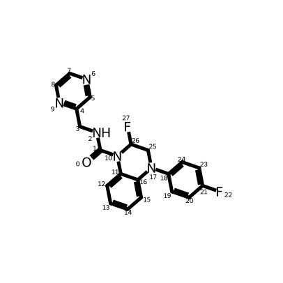 O=C(NCc1cnccn1)N1c2ccccc2N(c2ccc(F)cc2)CC1F